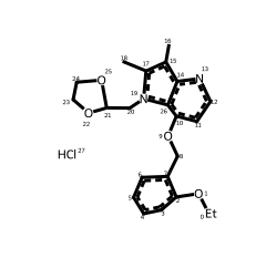 CCOc1ccccc1COc1ccnc2c(C)c(C)n(CC3OCCO3)c12.Cl